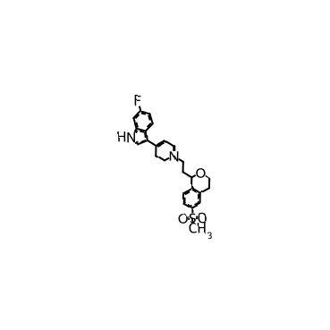 CS(=O)(=O)c1ccc2c(c1)CCOC2CCN1CC=C(c2c[nH]c3cc(F)ccc23)CC1